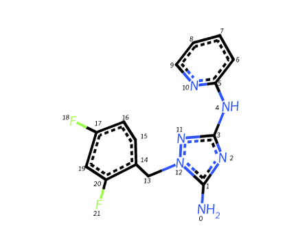 Nc1nc(Nc2ccccn2)nn1Cc1ccc(F)cc1F